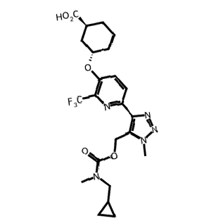 CN(CC1CC1)C(=O)OCc1c(-c2ccc(O[C@H]3CCC[C@H](C(=O)O)C3)c(C(F)(F)F)n2)nnn1C